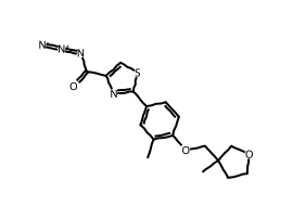 Cc1cc(-c2nc(C(=O)N=[N+]=[N-])cs2)ccc1OCC1(C)CCOC1